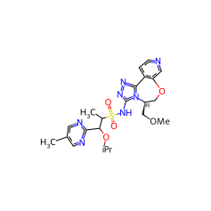 COC[C@@H]1COc2cnccc2-c2nnc(NS(=O)(=O)C(C)C(OC(C)C)c3ncc(C)cn3)n21